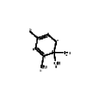 CC1=CCC(O)(C(C)(C)C)C(C(C)(C)C)=C1